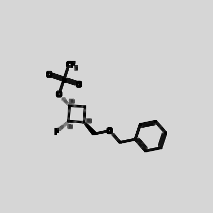 O=S(=O)(O[C@@H]1C[C@@H](COCc2ccccc2)[C@@H]1F)C(F)(F)F